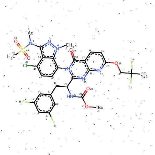 CC(=O)N(c1nn(C)c2c(-n3c([C@H](Cc4cc(F)cc(F)c4)NC(=O)OC(C)(C)C)nc4nc(OCC(F)(F)C(F)(F)F)ccc4c3=O)ccc(Cl)c12)S(C)(=O)=O